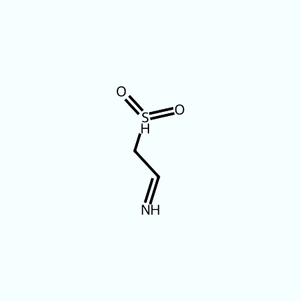 N=CC[SH](=O)=O